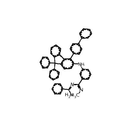 C/N=C(\N=C(/N)c1ccccc1)c1cccc(Nc2ccc3c(c2-c2ccc(-c4ccccc4)cc2)-c2ccccc2C3(c2ccccc2)c2ccccc2)c1